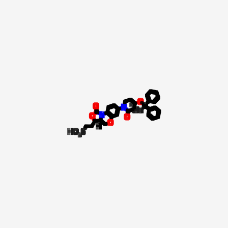 CC(C)(C)[Si](O[C@@H]1CCN(c2ccc3c(c2)OC[C@H]2[C@@H](CCS(=O)(=O)O)OC(=O)N32)C(=O)C1)(c1ccccc1)c1ccccc1